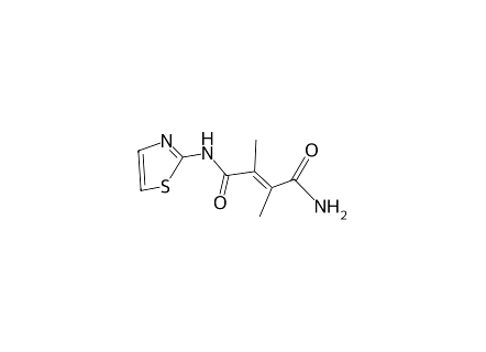 C/C(C(N)=O)=C(/C)C(=O)Nc1nccs1